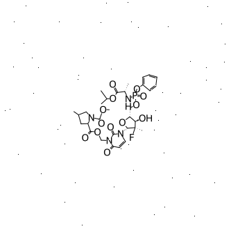 COC(=O)N1CC(C)CC1C(=O)OCn1c(=O)ccn([C@@H]2O[C@H](CO[P@](=O)(N[C@@H](C)C(=O)OC(C)C)Oc3ccccc3)[C@@H](O)[C@@]2(C)F)c1=O